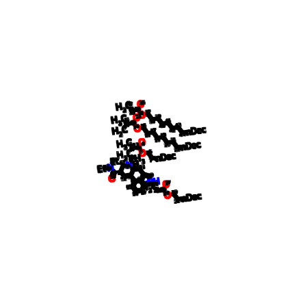 C=C(C)C(=O)OCCCCCCCCCCCC.C=C(C)C(=O)OCCCCCCCCCCCCCCCCCC.C=CC(=O)OCCCCCCCCCCCC.C=CC(=O)OCCCCCCCCCCCCCCCCCC.CCN(CC)C(=O)[C@@H]1C=C2c3cccc4[nH]cc(c34)C[C@H]2N(C)C1